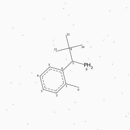 Cc1ccccc1C(P)C(C)(C)C